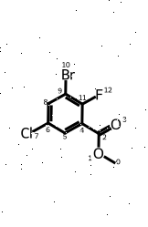 COC(=O)c1cc(Cl)cc(Br)c1F